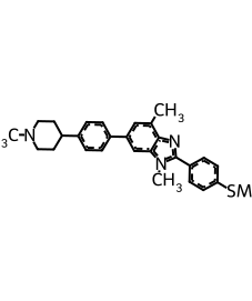 CSc1ccc(-c2nc3c(C)cc(-c4ccc(C5CCN(C)CC5)cc4)cc3n2C)cc1